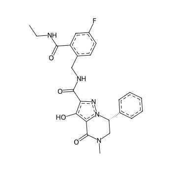 CCNC(=O)c1cc(F)ccc1CNC(=O)c1nn2c(c1O)C(=O)N(C)C[C@H]2c1ccccc1